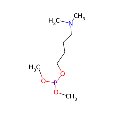 COP(OC)OCCCCN(C)C